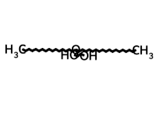 CCCCCCCCCCCCCCCCCCOCCCCCCCCCCCCCCCC.OCCO